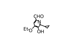 CCOc1cc(C=O)nc(C2CC2)c1O